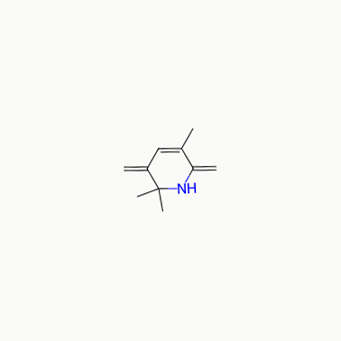 C=C1NC(C)(C)C(=C)C=C1C